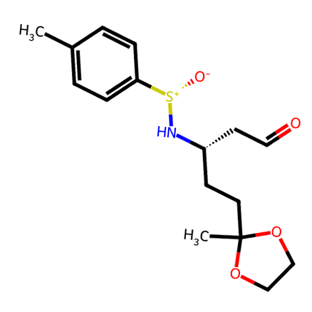 Cc1ccc([S@+]([O-])N[C@H](CC=O)CCC2(C)OCCO2)cc1